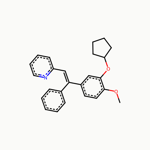 COc1ccc(C(=Cc2ccccn2)c2ccccc2)cc1OC1CCCC1